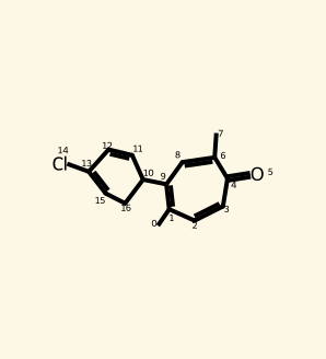 Cc1ccc(=O)c(C)cc1C1C=CC(Cl)=CC1